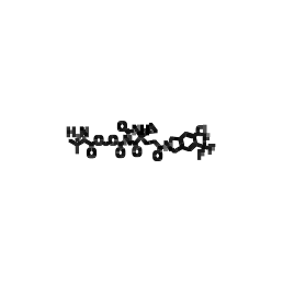 CC(C)C(N)C(=O)OCOC(=O)N1C(=O)N[C@](CCC(=O)N2Cc3cc(Cl)c(C(F)(F)F)cc3C2)(C2CC2)C1=O